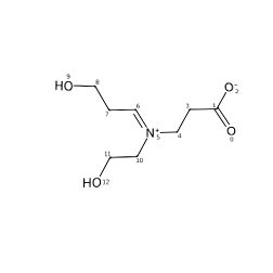 O=C([O-])CC[N+](=CCCO)CCO